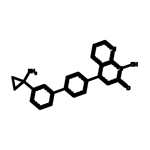 NC1(c2cccc(-c3ccc(-c4cc(=O)n(O)c5ncccc45)cc3)c2)CC1